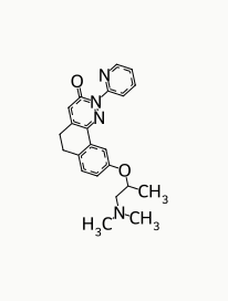 CC(CN(C)C)Oc1ccc2c(c1)-c1nn(-c3ccccn3)c(=O)cc1CC2